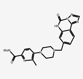 CNC(=O)c1ccc(N2CCN(Cc3ccc4c(c3)[nH]c(=O)n3ncnc43)CC2)c(C)n1